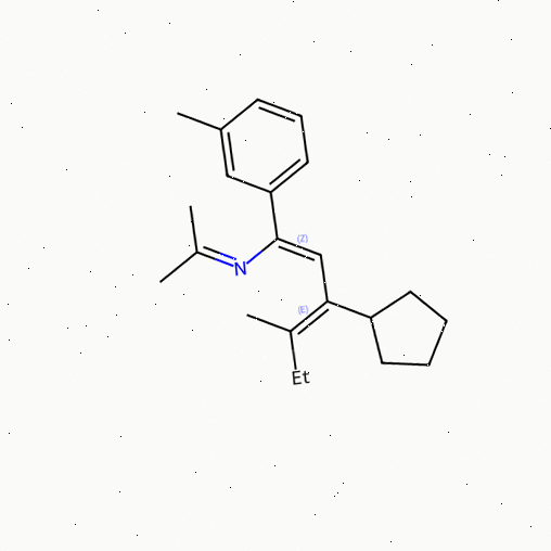 CC/C(C)=C(/C=C(\N=C(C)C)c1cccc(C)c1)C1CCCC1